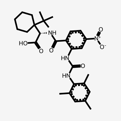 Cc1cc(C)c(NC(=O)Nc2cc([N+](=O)[O-])ccc2C(=O)N[C@H](C(=O)O)C2(C(C)(C)C)CCCCC2)c(C)c1